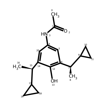 CC(=O)Nc1cc([C@H](C)C2CC2)c(O)c([C@H](C)C2CC2)c1